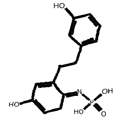 O=P(O)(O)N=C1CC=C(O)C=C1CCc1cccc(O)c1